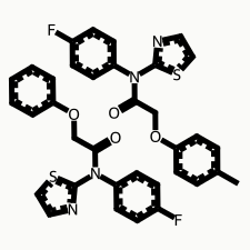 Cc1ccc(OCC(=O)N(c2ccc(F)cc2)c2nccs2)cc1.O=C(COc1ccccc1)N(c1ccc(F)cc1)c1nccs1